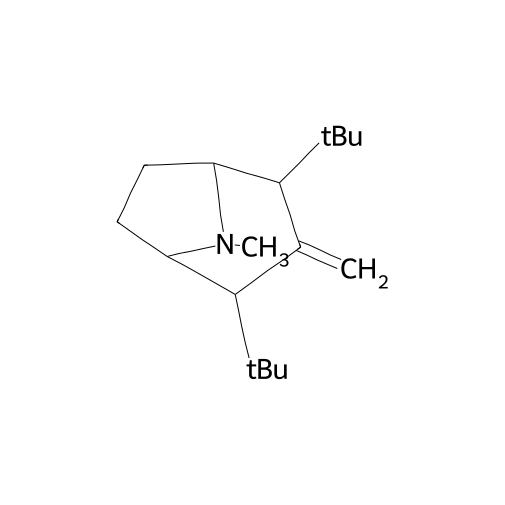 C=C1C(C(C)(C)C)C2CCC(C1C(C)(C)C)N2C